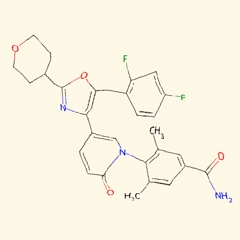 Cc1cc(C(N)=O)cc(C)c1-n1cc(-c2nc(C3CCOCC3)oc2-c2ccc(F)cc2F)ccc1=O